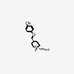 CCCCC[Si@]1(F)CC[C@@H](COc2ccc(C#N)cc2)CC1